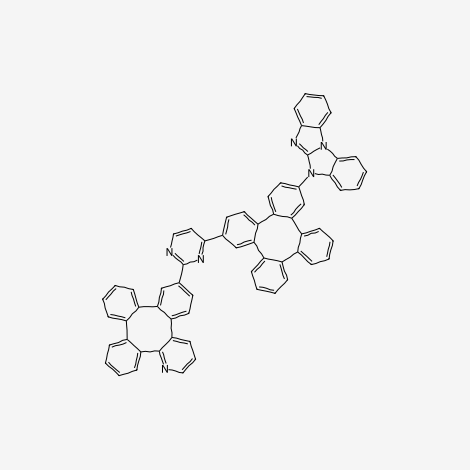 c1ccc2c(c1)-c1ccccc1-c1cc(-n3c4ccccc4n4c5ccccc5nc34)ccc1-c1ccc(-c3ccnc(-c4ccc5c(c4)-c4ccccc4-c4ccccc4-c4ncccc4-5)n3)cc1-2